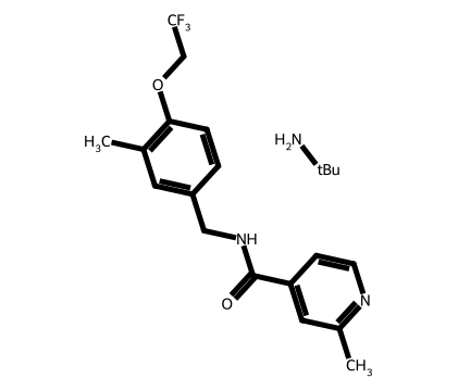 CC(C)(C)N.Cc1cc(C(=O)NCc2ccc(OCC(F)(F)F)c(C)c2)ccn1